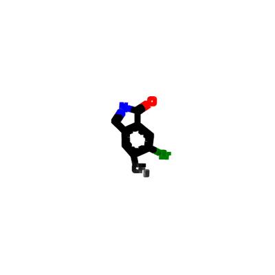 O=C1N=Cc2cc(C(F)(F)F)c(Br)cc21